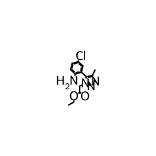 CCOC(=O)Cn1nnc(C)c1-c1cc(Cl)ccc1N